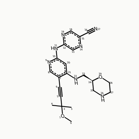 COC(C)(C)C#Cc1cnc(Nc2cnc(C#N)cn2)cc1NC[C@@H]1CNCCO1